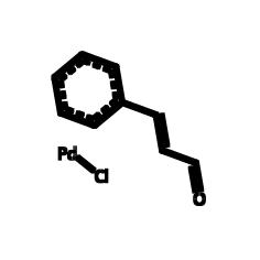 O=C/C=C/c1ccccc1.[Cl][Pd]